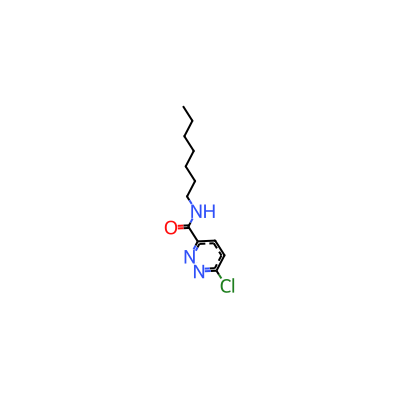 CCCCCCCNC(=O)c1ccc(Cl)nn1